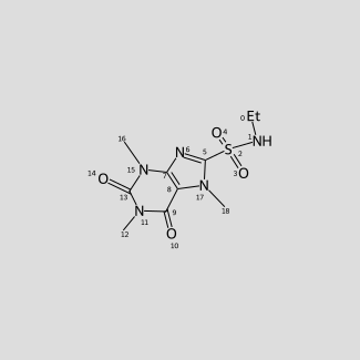 CCNS(=O)(=O)c1nc2c(c(=O)n(C)c(=O)n2C)n1C